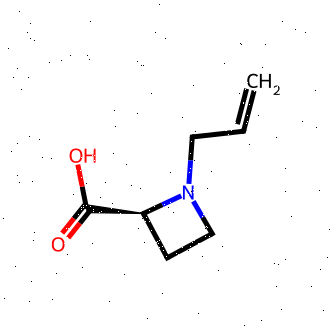 C=CCN1CC[C@H]1C(=O)O